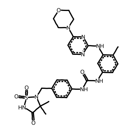 Cc1ccc(NC(=O)Nc2ccc(CN3C(C)(C)C(=O)NS3(=O)=O)cc2)cc1Nc1nccc(N2CCOCC2)n1